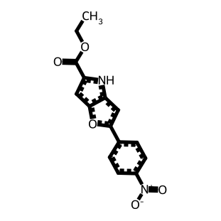 CCOC(=O)c1cc2oc(-c3ccc([N+](=O)[O-])cc3)cc2[nH]1